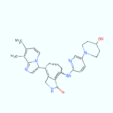 Cc1ccn2c(-c3ccc(Nc4ccc(N5CCC(O)CC5)cn4)c4c3CNC4=O)cnc2c1C